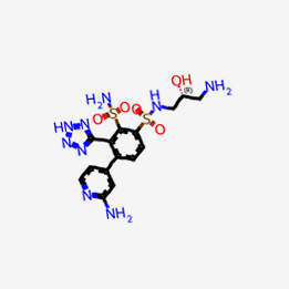 NC[C@@H](O)CNS(=O)(=O)c1ccc(-c2ccnc(N)c2)c(-c2nn[nH]n2)c1S(N)(=O)=O